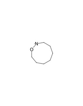 C1CCC[N]OCCC1